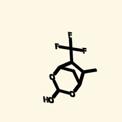 CC1C2CC(OC(O)O2)C1C(F)(F)F